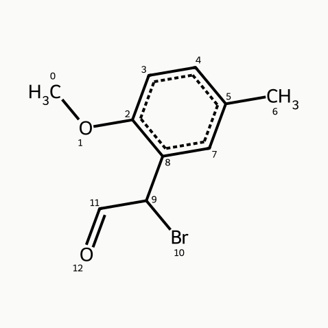 COc1ccc(C)cc1C(Br)C=O